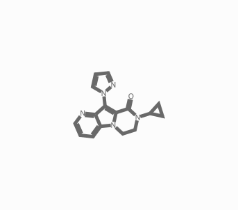 O=C1c2c(-n3cccn3)c3ncccc3n2CCN1C1CC1